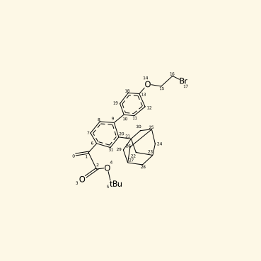 C=C(C(=O)OC(C)(C)C)c1ccc(-c2ccc(OCCBr)cc2)c(C23CC4CC(CC(C4)C2)C3)c1